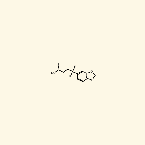 CS(=S)CCC(F)(F)c1ccc2c(c1)OCO2